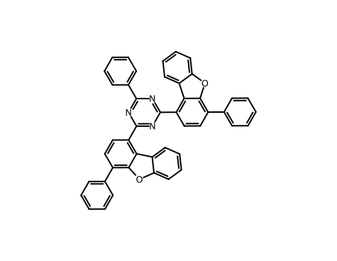 c1ccc(-c2nc(-c3ccc(-c4ccccc4)c4oc5ccccc5c34)nc(-c3ccc(-c4ccccc4)c4oc5ccccc5c34)n2)cc1